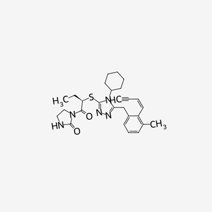 C#C/C=C\c1c(C)cccc1Cc1nnc(S[C@H](CC)C(=O)N2CCNC2=O)n1C1CCCCC1